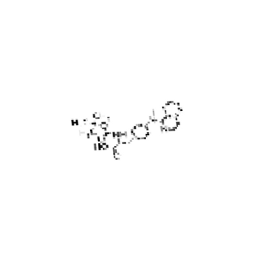 CC(C)(C)OC(=O)NC(Cc1ccc(Nc2nccc3ccccc23)cc1)C(=O)O